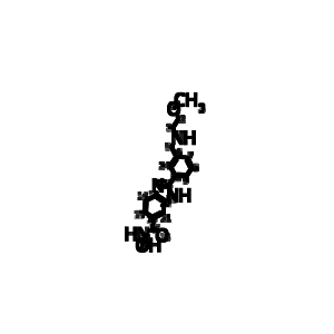 COCCNCc1cccc(-c2nc3ccc(C(=O)NO)cc3[nH]2)c1